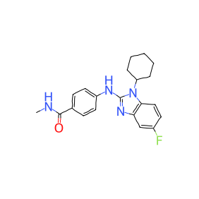 CNC(=O)c1ccc(Nc2nc3cc(F)ccc3n2C2CCCCC2)cc1